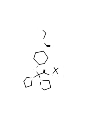 CCOC(=O)[C@H]1CC[C@H](OC(C(=O)OC(C)(C)C)(N2CCCC2)N2CCCO2)CC1